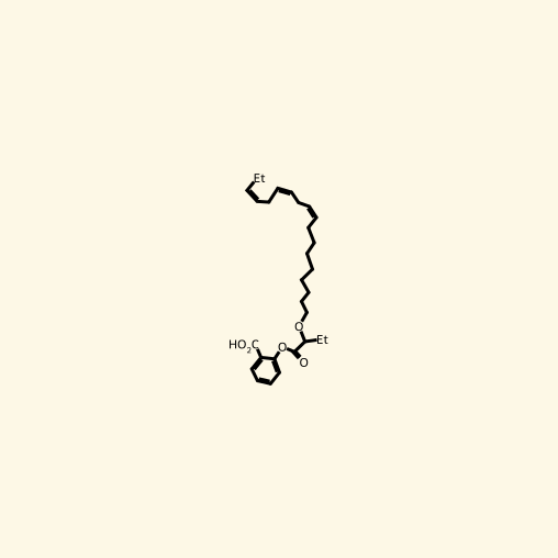 CC/C=C\C/C=C\C/C=C\CCCCCCCCOC(CC)C(=O)Oc1ccccc1C(=O)O